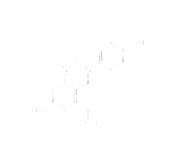 O=c1c2c(CO)cc(O)cc2ncn1-c1ccc(O)cc1